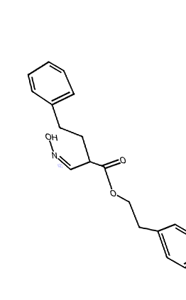 O=C(OCCc1ccccc1)C(/C=N\O)CCc1ccccc1